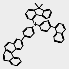 CC1(C)c2ccccc2-c2c(N(c3ccc(-c4ccc5c(ccc6ccc7ccccc7c65)c4)cc3)c3ccc(-c4cccc5ccccc45)cc3)cccc21